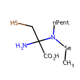 CCCCCN([Se]C)C(N)(CS)C(=O)O